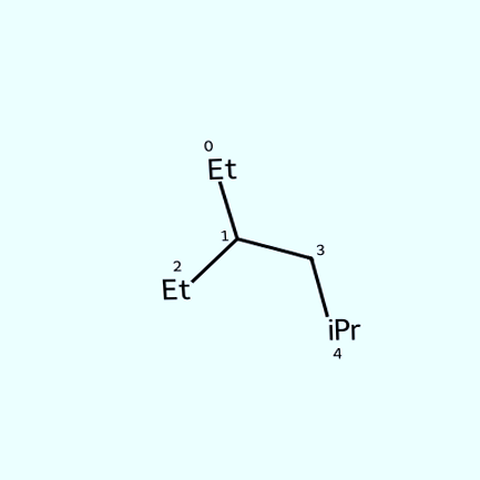 [CH2]CC(C[CH2])CC(C)C